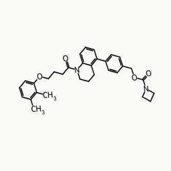 Cc1cccc(OCCCC(=O)N2CCCc3c(-c4ccc(COC(=O)N5CCC5)cc4)cccc32)c1C